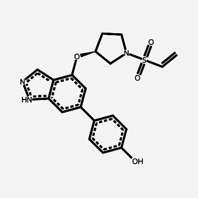 C=CS(=O)(=O)N1CC[C@H](Oc2cc(-c3ccc(O)cc3)cc3[nH]ncc23)C1